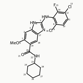 COc1cc2[nH]c(Nc3c(Cl)ccc(Cl)c3F)nc2cc1C(=O)NC1CCCCC1